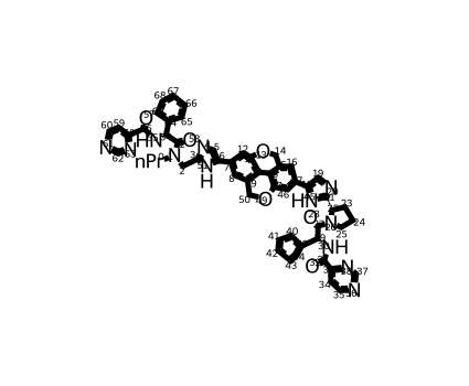 CCCN(Cc1ncc(-c2cc3c4c(c2)OCc2cc(-c5cnc([C@@H]6CCCN6C(=O)[C@H](NC(=O)c6ccncn6)c6ccccc6)[nH]5)cc(c2-4)OC3)[nH]1)C(=O)[C@H](NC(=O)c1ccncn1)c1ccccc1